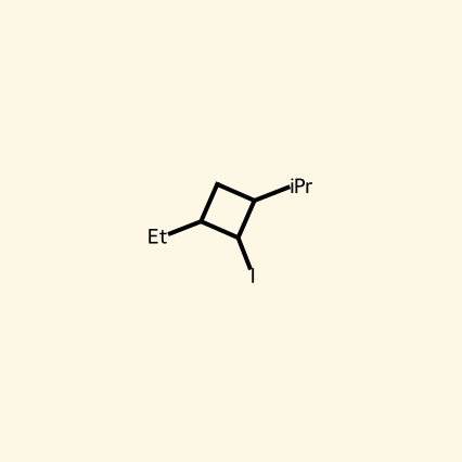 CCC1CC(C(C)C)C1I